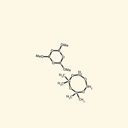 COB1OB(OC)OB(OC)O1.C[Si]1(C)O[SiH2]O[SiH2]O[Si](C)(C)O1